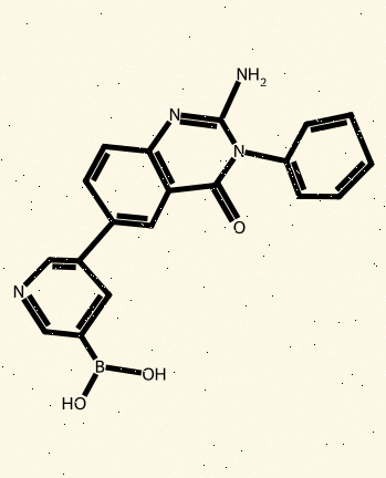 Nc1nc2ccc(-c3cncc(B(O)O)c3)cc2c(=O)n1-c1ccccc1